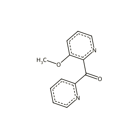 COc1cccnc1C(=O)c1ccccn1